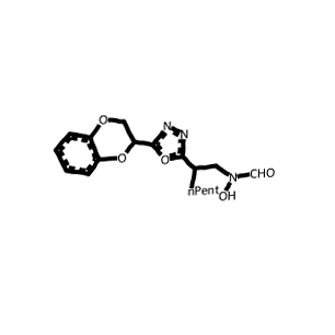 CCCCCC(CN(O)C=O)c1nnc(C2COc3ccccc3O2)o1